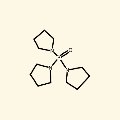 O=P(N1CCCC1)(N1CCCC1)N1CCCC1